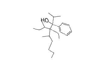 CCCCC(C)C(CC)(C(C)CC)C(O)(c1ccccc1)C(C)C